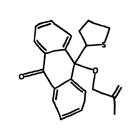 C=C(C)COC1(C2CCCS2)c2ccccc2C(=O)c2ccccc21